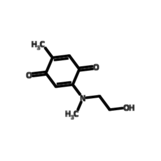 CC1=CC(=O)C(N(C)CCO)=CC1=O